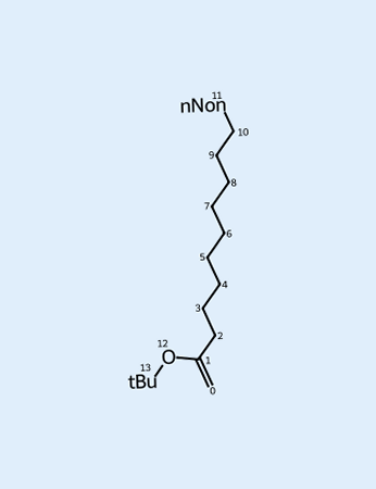 C=C(CCCCCCCCCCCCCCCCCC)OC(C)(C)C